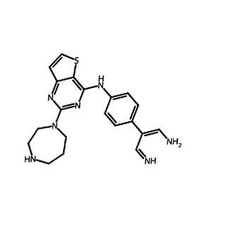 N=C/C(=C\N)c1ccc(Nc2nc(N3CCCNCC3)nc3ccsc23)cc1